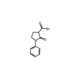 CCC(=O)C1CCN(c2ccccc2)C1=O